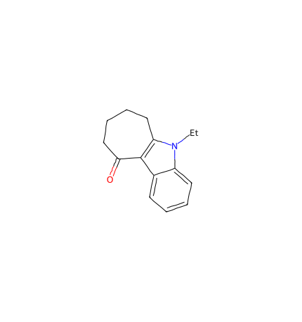 CCn1c2c(c3ccccc31)C(=O)CCCC2